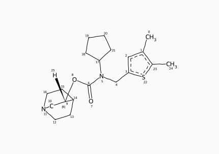 Cc1cc(CN(C(=O)O[C@H]2CN3CCC2CC3)C2CCCC2)sc1C